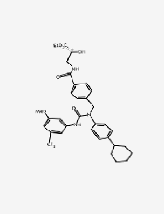 CCOC(=O)[C@H](O)CNC(=O)c1ccc(CN(C(=O)Nc2cc(OC)cc(C(F)(F)F)c2)c2ccc(C3CCCCC3)cc2)cc1